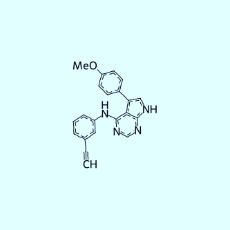 C#Cc1cccc(Nc2ncnc3[nH]cc(-c4ccc(OC)cc4)c23)c1